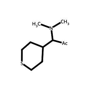 CC(=O)C(C1CCSCC1)N(C)C